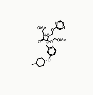 COCO[C@@]1(Cc2cc(O[C@H]3CC[C@H](C)CC3)ccn2)C(=O)N(COC)[C@H]1COc1cnccn1